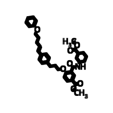 COC(=O)c1ccc(OCCCc2ccc(C=CCCCOc3ccccc3)cc2)c(C(=O)NC2CCCC(C(=O)OC)C2)c1